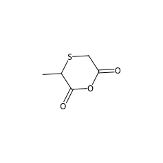 CC1SCC(=O)OC1=O